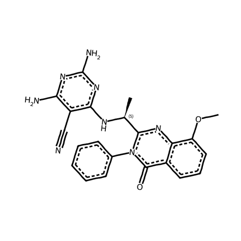 COc1cccc2c(=O)n(-c3ccccc3)c([C@H](C)Nc3nc(N)nc(N)c3C#N)nc12